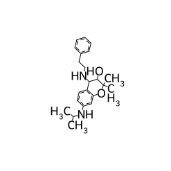 CC(C)Nc1ccc2c(c1)OC(C)(C)C(O)C2NCCc1ccccc1